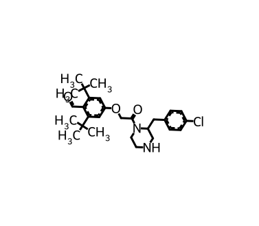 CC(C)(C)c1cc(OCC(=O)N2CCNCC2Cc2ccc(Cl)cc2)cc(C(C)(C)C)c1C=O